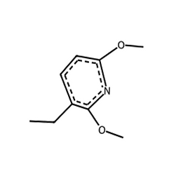 CCc1ccc(OC)nc1OC